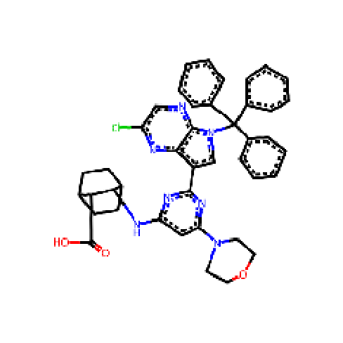 O=C(O)C1C2CCC(CC2)C1Nc1cc(N2CCOCC2)nc(-c2cn(C(c3ccccc3)(c3ccccc3)c3ccccc3)c3ncc(Cl)nc23)n1